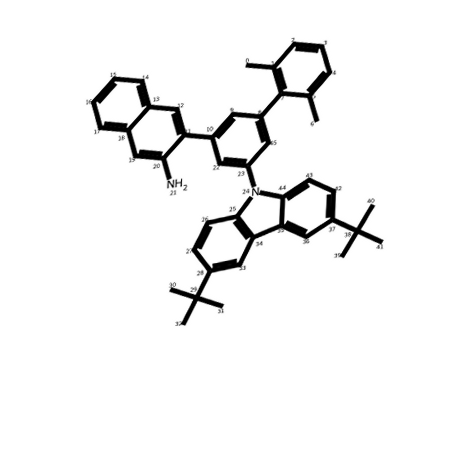 Cc1cccc(C)c1-c1cc(-c2cc3ccccc3cc2N)cc(-n2c3ccc(C(C)(C)C)cc3c3cc(C(C)(C)C)ccc32)c1